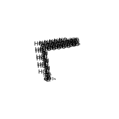 O=C(O)c1cc(O)ccn1.O=C(O)c1cc(O)ccn1.O=C(O)c1cc(O)ccn1.O=C(O)c1cc(O)ccn1.O=C(O)c1cc(O)ccn1.O=C(O)c1cc(O)ccn1.O=C(O)c1cc(O)ccn1.O=C(O)c1cc(O)ccn1.O=C(O)c1cc(O)ccn1.O=C([O-])c1ccccn1.O=C([O-])c1ccccn1.O=C([O-])c1ccccn1.[Er+3]